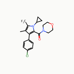 Cc1c(-c2ccc(Cl)cc2)c(C(=O)N2CCOCC2)n(C2CC2)c1C(F)(F)F